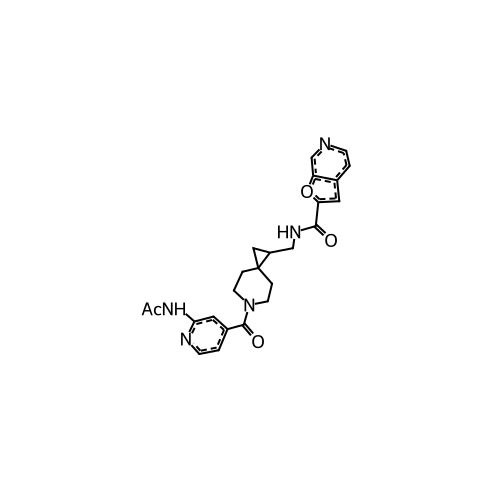 CC(=O)Nc1cc(C(=O)N2CCC3(CC2)CC3CNC(=O)c2cc3ccncc3o2)ccn1